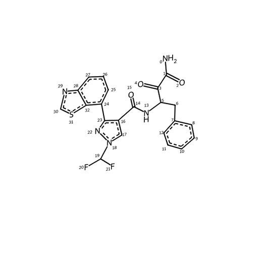 NC(=O)C(=O)C(Cc1ccccc1)NC(=O)c1cn(C(F)F)nc1-c1cccc2ncsc12